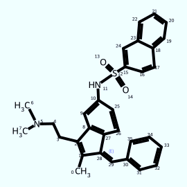 CC1=C(CCN(C)C)c2cc(NS(=O)(=O)c3ccc4ccccc4c3)ccc2/C1=C\c1ccccc1